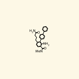 CNC(=O)c1ccc(CCCC(N)=O)c(-c2ccc(-c3ccccc3)cc2)c1N